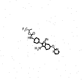 CC(C)n1c(-c2ccc(NC(=O)O[C@H](C)C(F)(F)F)cc2)c(N)c2ccc(Oc3ncccn3)cc21